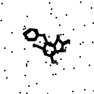 Cc1cc(Br)c(Sc2ccccc2)c2[nH]c(=O)[nH]c12